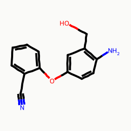 N#Cc1ccccc1Oc1ccc(N)c(CO)c1